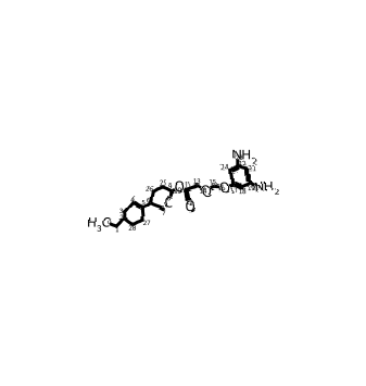 CCC1CCC(C2CCC(OC(=O)COCOc3cc(N)cc(N)c3)CC2)CC1